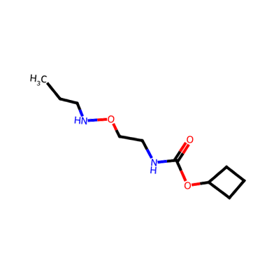 CCCNOCCNC(=O)OC1CCC1